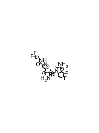 CC(C(N)=O)N(c1ccc(F)c(F)c1)c1nc(N)c(C(=O)c2cc(C(=O)NC3CC(F)(F)C3)no2)s1